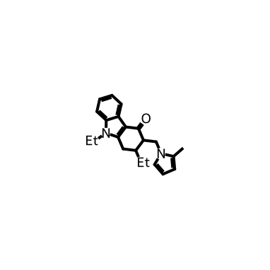 CCC1Cc2c(c3ccccc3n2CC)C(=O)C1Cn1cccc1C